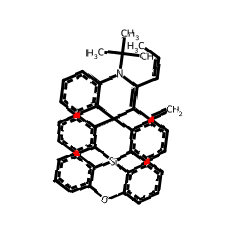 C=CC1=C(/C=C\C)N(C(C)(C)C)c2ccccc2C12c1ccccc1[Si]1(c3ccccc3Oc3ccccc31)c1ccccc12